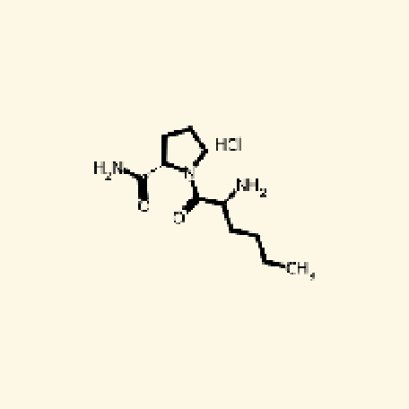 CCCC[C@H](N)C(=O)N1CCC[C@H]1C(N)=O.Cl